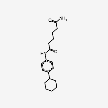 NC(=O)CCCCC(=O)Nc1ccc(C2CCCCC2)cc1